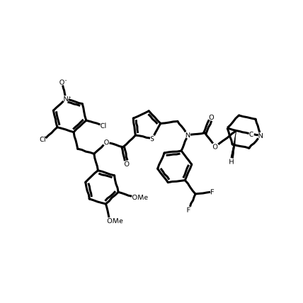 COc1ccc(C(Cc2c(Cl)c[n+]([O-])cc2Cl)OC(=O)c2ccc(CN(C(=O)O[C@H]3CN4CCC3CC4)c3cccc(C(F)F)c3)s2)cc1OC